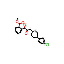 COC(=O)c1ccccc1C(=O)C(=O)CC1CCC(c2ccc(Cl)cc2)CC1